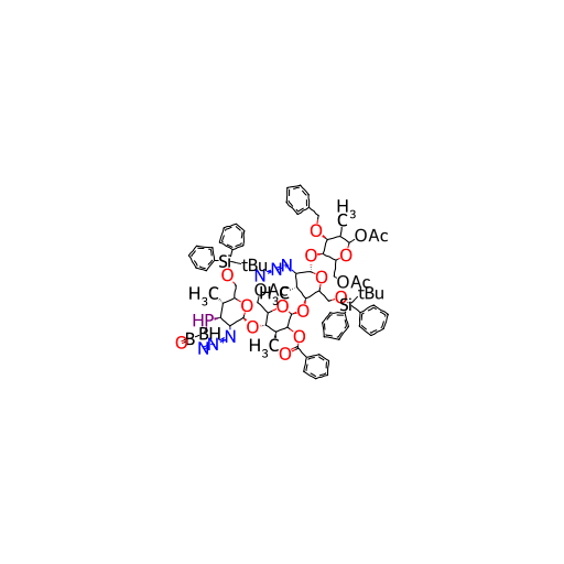 CC(=O)OCC1O[C@@H](O[C@@H]2C(CO[Si](c3ccccc3)(c3ccccc3)C(C)(C)C)O[C@@H](O[C@@H]3C(COC(C)=O)OC(OC(C)=O)C(C)[C@@H]3OCc3ccccc3)C(N=[N+]=[N-])[C@H]2C)C(OC(=O)c2ccccc2)[C@@H](C)[C@@H]1O[C@@H]1OC(CO[Si](c2ccccc2)(c2ccccc2)C(C)(C)C)[C@@H](C)[C@H](PBB=O)C1N=[N+]=[N-]